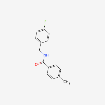 Cc1ccc(C(=O)NCc2ccc(F)cc2)cc1